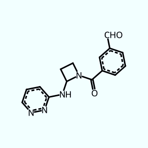 O=Cc1cccc(C(=O)N2CCC2Nc2cccnn2)c1